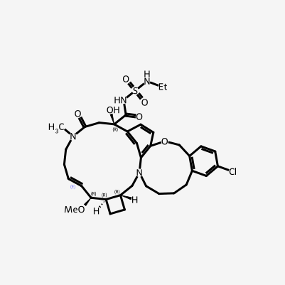 CCNS(=O)(=O)NC(=O)[C@@]1(O)CC(=O)N(C)CC/C=C/[C@H](OC)[C@@H]2CC[C@H]2CN2CCCCc3cc(Cl)ccc3COc3ccc1cc32